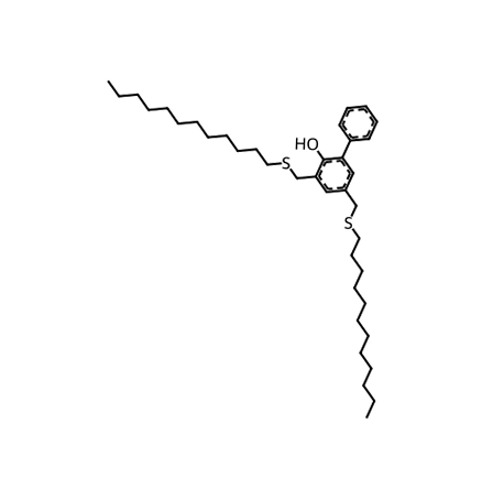 CCCCCCCCCCCCSCc1cc(CSCCCCCCCCCCCC)c(O)c(-c2ccccc2)c1